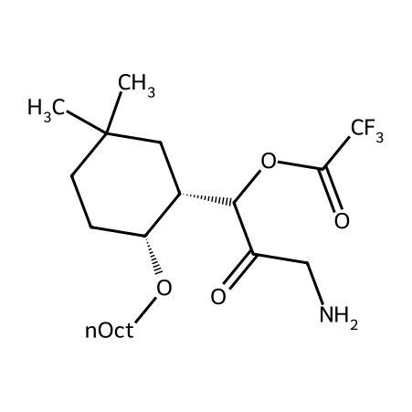 CCCCCCCCO[C@@H]1CCC(C)(C)C[C@@H]1C(OC(=O)C(F)(F)F)C(=O)CN